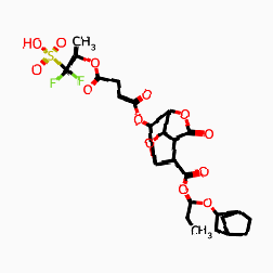 CCC(OC(=O)C1C2OC3C(OC(=O)C31)C2OC(=O)CCC(=O)OC(C)C(F)(F)S(=O)(=O)O)OC1CC2CCC1C2